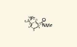 CNC(=O)c1cccc(C(C)C(C)C)c1